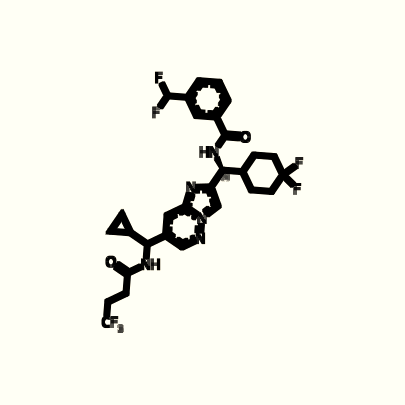 O=C(CCC(F)(F)F)NC(c1cnn2cc([C@@H](NC(=O)c3cccc(C(F)F)c3)C3CCC(F)(F)CC3)nc2c1)C1CC1